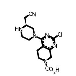 N#CC[C@H]1CN(c2nc(Cl)nc3c2CCN(C(=O)O)C3)CCN1